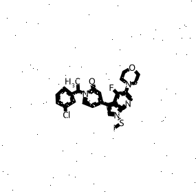 CC(c1cccc(Cl)c1)n1ccc(-c2cn(SI)c3ncc(N4CCOCC4)c(F)c23)cc1=O